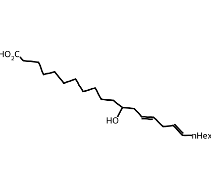 CCCCCCC=CCC=CCC(O)CCCCCCCCCCC(=O)O